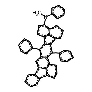 CN(c1ccccc1)c1ccc2c3c(-c4ccccc4)c4cc5c6ccccc6c6cccc(c4c(-c4ccccc4)c3c3cccc1c23)c65